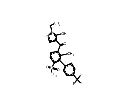 CCn1ncc(C(=O)c2ccc(S(C)(=O)=O)c(-c3ccc(C(F)(F)F)cc3)c2C)c1O